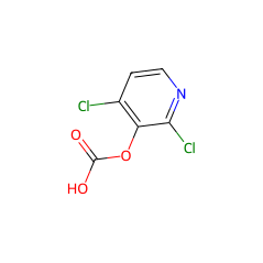 O=C(O)Oc1c(Cl)ccnc1Cl